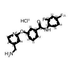 Cl.NCc1ccnc(Oc2cccc(C(=O)Nc3ccc(F)cc3F)c2)c1